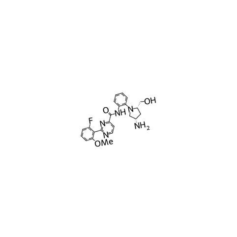 COc1cccc(F)c1-c1nccc(C(=O)Nc2ccccc2N2C[C@@H](N)C[C@H]2CO)n1